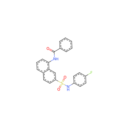 O=C(Nc1cccc2ccc(S(=O)(=O)Nc3ccc(F)cc3)cc12)c1ccccc1